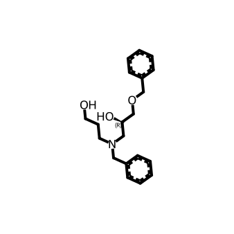 OCCCN(Cc1ccccc1)C[C@@H](O)COCc1ccccc1